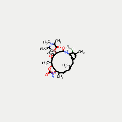 C/C1=C\C=C\C(C)C2(O)CC(OC(=O)N2)C(C)C2OC2(C)C(OC(=O)C(C)N(C)C(C)C)CC(=O)N(C)c2cc(cc(C)c2Cl)C1